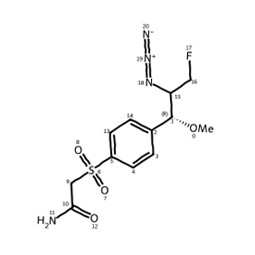 CO[C@H](c1ccc(S(=O)(=O)CC(N)=O)cc1)C(CF)N=[N+]=[N-]